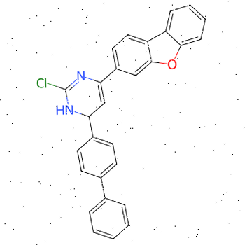 ClC1=NC(c2ccc3c(c2)oc2ccccc23)=CC(c2ccc(-c3ccccc3)cc2)N1